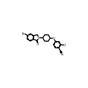 N#Cc1ccc(OC2CCC(N3Cc4cc(Br)ccc4C3=O)CC2)cc1Cl